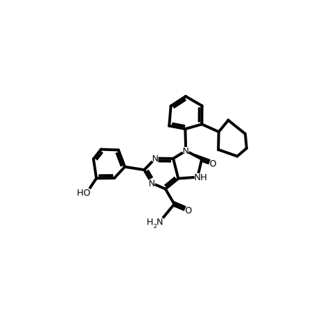 NC(=O)c1nc(-c2cccc(O)c2)nc2c1[nH]c(=O)n2-c1ccccc1C1CCCCC1